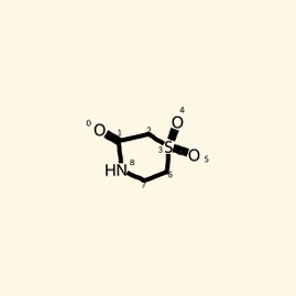 O=C1CS(=O)(=O)CCN1